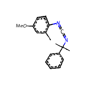 COc1ccc(N=C=NC(C)(C)c2ccccc2)c(C)c1